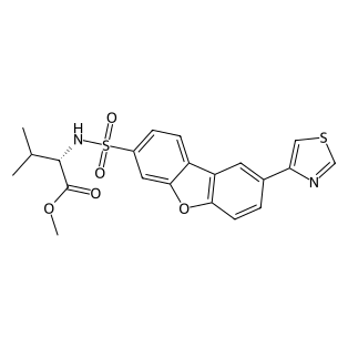 COC(=O)[C@@H](NS(=O)(=O)c1ccc2c(c1)oc1ccc(-c3cscn3)cc12)C(C)C